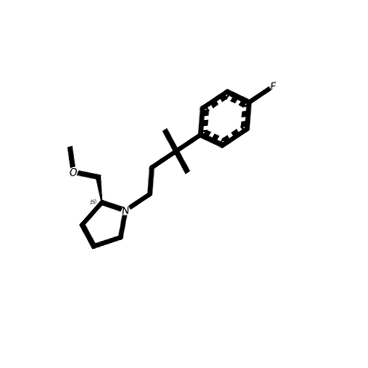 COC[C@@H]1CCCN1CCC(C)(C)c1ccc(F)cc1